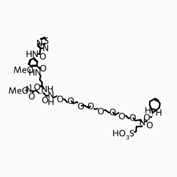 COc1ccc(NC(=O)c2cn3ccsc3n2)cc1C(=O)NCCCC(=O)N[C@@H](CCC(=O)N(C)OC)C(=O)NCCOCCOCCOCCOCCOCCOCCOCCOCCN(CCCS(=O)(=O)O)C(=O)OC[C@H]1[C@@H]2CCC#CCC[C@@H]21